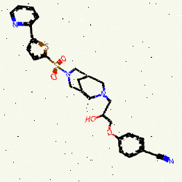 N#Cc1ccc(OCC(O)CN2CC3CC(C2)CN(S(=O)(=O)c2ccc(-c4ccccn4)s2)C3)cc1